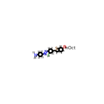 CCCCCCCCOc1ccc2cc(-c3ccc(/N=N/c4ccc(N(C)C)cc4)c(F)c3)sc2c1